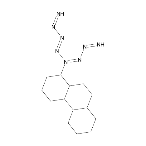 N=NN=N[N+](=NN=N)C1CCCC2C3CCCCC3CCC21